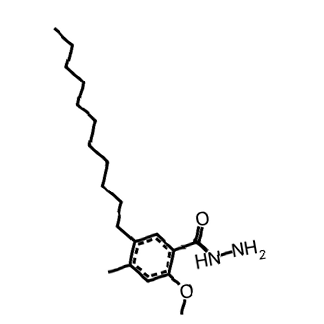 CCCCCCCCCCCc1cc(C(=O)NN)c(OC)cc1C